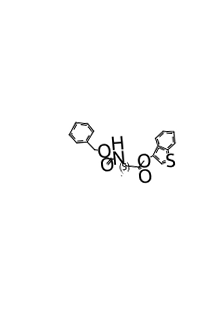 C[C@H](NC(=O)OCc1ccccc1)C(=O)Oc1csc2ccccc12